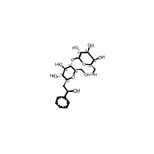 OC[C@H]1OC(O[C@H]2[C@H](O)[C@@H](O)[C@H](CC(O)c3ccccc3)O[C@@H]2CO)[C@H](O)[C@@H](O)[C@H]1O